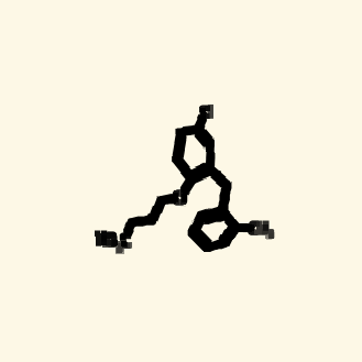 Cc1ccccc1Cc1cc(Cl)ccc1OCCCC(=O)O